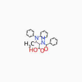 CC(C(NC(=O)c1ccccc1)C(=O)O)N(c1ccccc1)c1ccccc1